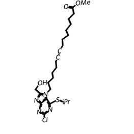 COC(=O)CCCCCCCCCCCCCCCn1c(CO)nc2nc(Cl)nc(SC(C)C)c21